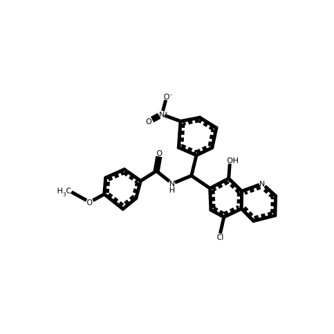 COc1ccc(C(=O)NC(c2cccc([N+](=O)[O-])c2)c2cc(Cl)c3cccnc3c2O)cc1